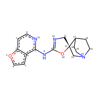 c1cc2occc2c(NC2=NC[C@@]3(CN4CCC3CC4)O2)n1